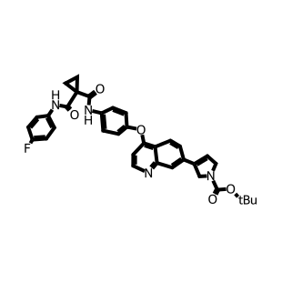 CC(C)(C)OC(=O)N1CC=C(c2ccc3c(Oc4ccc(NC(=O)C5(C(=O)Nc6ccc(F)cc6)CC5)cc4)ccnc3c2)C1